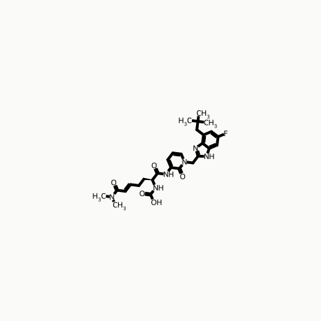 CN(C)C(=O)/C=C/CC[C@H](NC(=O)O)C(=O)Nc1cccn(Cc2nc3c(CC(C)(C)C)cc(F)cc3[nH]2)c1=O